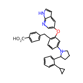 O=C(O)c1ccc(Cc2ccc(N3CCCC3c3ccccc3C3CC3)cc2Oc2cnc3[nH]ccc3c2)cc1